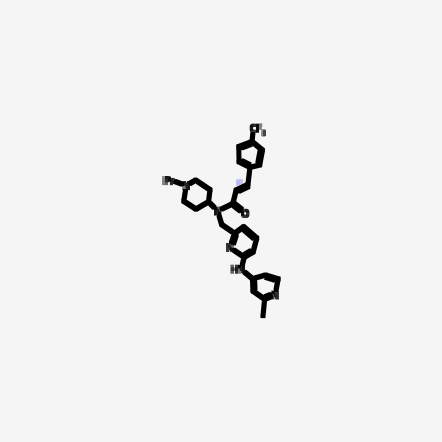 Cc1cc(Nc2cccc(CN(C(=O)/C=C/c3ccc(C(F)(F)F)cc3)C3CCN(C(C)C)CC3)n2)ccn1